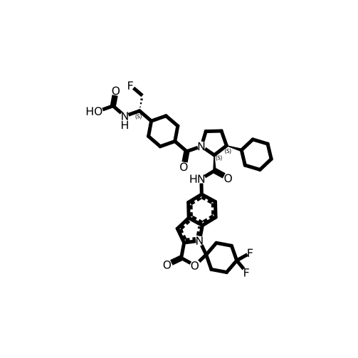 O=C(O)N[C@H](CF)C1CCC(C(=O)N2CC[C@@H](C3CCCCC3)[C@H]2C(=O)Nc2ccc3c(c2)cc2n3C3(CCC(F)(F)CC3)OC2=O)CC1